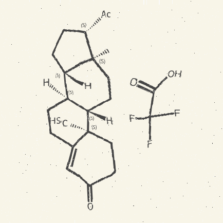 CC(=O)[C@H]1CC[C@H]2[C@@H]3CCC4=CC(=O)CC[C@]4(CS)[C@H]3CC[C@]12C.O=C(O)C(F)(F)F